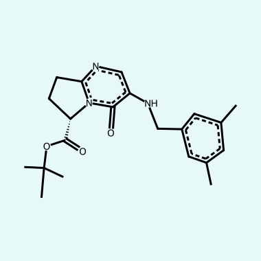 Cc1cc(C)cc(CNc2cnc3n(c2=O)[C@H](C(=O)OC(C)(C)C)CC3)c1